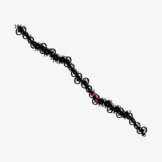 C=CC(=O)OCCOCCOCCOc1ccc(C(=O)Oc2ccc(C(=O)Cc3ccc(-c4ccc(C(=O)OCCOCCOCCOC(=O)CCC(=O)OCCOCCOCCOC(=O)c5ccc(-c6ccc(CC(=O)c7ccc(OC(=O)c8ccc(OCCOCCOCCOC(=O)C=C)cc8)cc7)cc6)cc5)cc4)cc3)cc2)cc1